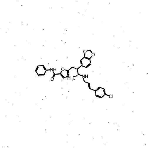 C[C@H](NCC=Cc1ccc(Cl)cc1)[C@@H](Cc1ccc(C(=O)Nc2ccccc2)o1)c1ccc2c(c1)OCO2